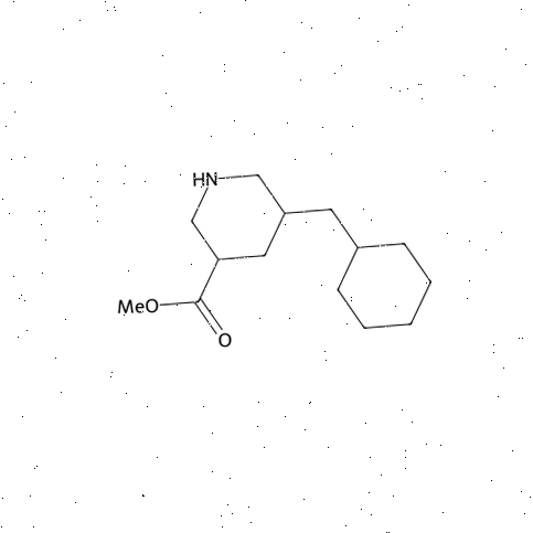 COC(=O)C1CNCC(CC2CCCCC2)C1